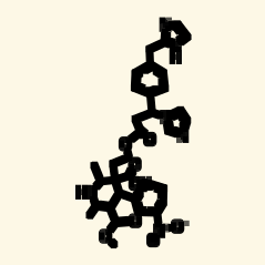 COC(=O)C1=C(C)NC(C)C(CCOC(=O)CC(c2ccc(Cc3ncc[nH]3)cc2)n2ccnc2)(C(=O)O)C1c1cccc([N+](=O)[O-])c1